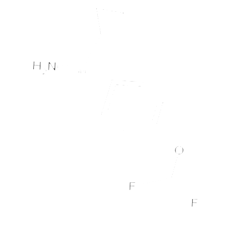 N[C@@H](c1ccc(OC(F)F)cc1)C1CC1